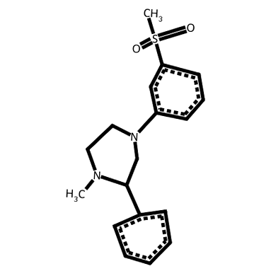 CN1CCN(c2cccc(S(C)(=O)=O)c2)CC1c1ccccc1